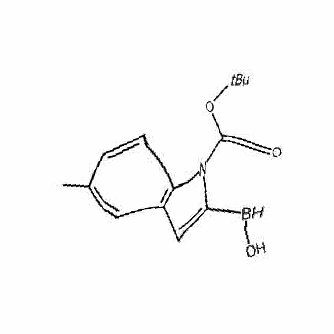 Cc1ccc2c(c1)cc(BO)n2C(=O)OC(C)(C)C